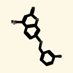 O=c1cc(C(F)(F)F)c2ccc(OCc3cccc(Br)c3)cc2o1